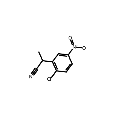 CC(C#N)c1cc([N+](=O)[O-])ccc1Cl